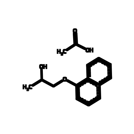 CC(=O)O.CC(O)COc1cccc2ccccc12